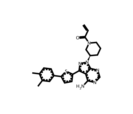 C=CC(=O)N1CCC[C@@H](n2nc(-c3ccc(-c4ccc(C)c(C)c4)s3)c3c(N)ncnc32)C1